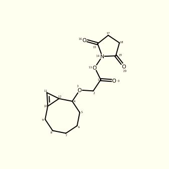 O=C(COC1CCCCCC2=CC21)ON1C(=O)CCC1=O